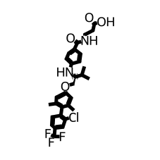 Cc1cc(OC[C@@H](Nc2ccc(C(=O)NCCC(=O)O)cc2)C(C)C)cc(C)c1-c1ccc(C(F)(F)F)cc1Cl